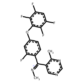 C/N=C(/c1ccc(Oc2c(F)c(F)cc(F)c2F)cc1F)c1cncnc1C